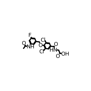 CC(=O)Nc1cc(F)cc(COc2c(Cl)cc(C(=O)NCC(=O)O)cc2Cl)c1